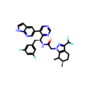 CC1c2c(c(C(F)F)nn2CC(=O)N[C@@H](Cc2cc(F)cc(F)c2)c2ncncc2-c2cnc3[nH]ccc3c2)CC[C@H]1C